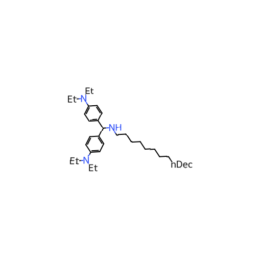 CCCCCCCCCCCCCCCCCCNC(c1ccc(N(CC)CC)cc1)c1ccc(N(CC)CC)cc1